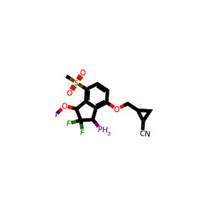 CS(=O)(=O)c1ccc(OCC2CC2C#N)c2c1C(OI)C(F)(F)C2P